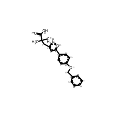 CC(C)(Cc1cc(-c2ccc(OCc3ccccc3)cc2)on1)C(=O)O